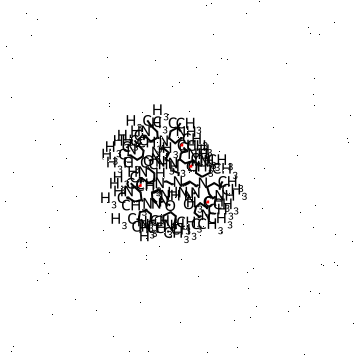 CN1C(C)(C)CC(ON2N=C(N(C3CC(C)(C)NC(C)(C)C3)C3CC(C)(C)NC(C)(C)C3)C=C(N(CCN(C3=CC(N(C4CC(C)(C)NC(C)(C)C4)C4CC(C)(C)NC(C)(C)C4)=NN(OC4CC(C)(C)N(C)C(C)(C)C4)N3)C3CC(C)(C)NC(C)(C)C3)CCN(C3=CC(N(C4CC(C)(C)NC(C)(C)C4)C4CC(C)(C)NC(C)(C)C4)=NN(OC4CC(C)(C)N(C)C(C)(C)C4)N3)C3CC(C)(C)NC(C)(C)C3)N2)CC1(C)C